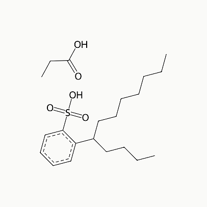 CCC(=O)O.CCCCCCCC(CCCC)c1ccccc1S(=O)(=O)O